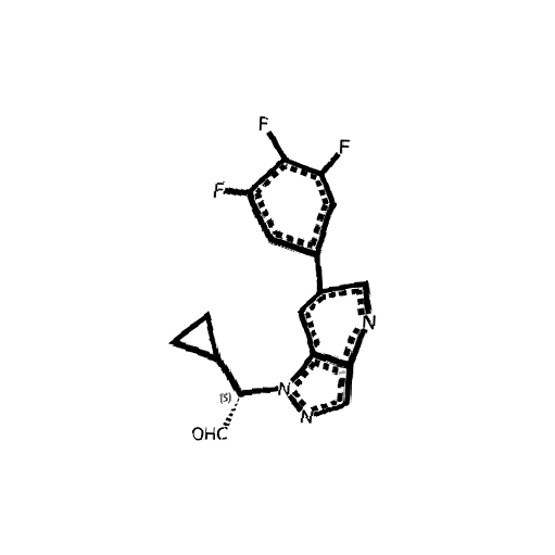 O=C[C@H](C1CC1)n1ncc2ncc(-c3cc(F)c(F)c(F)c3)cc21